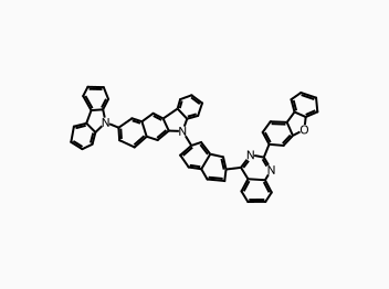 c1ccc2c(-c3ccc4ccc(-n5c6ccccc6c6cc7cc(-n8c9ccccc9c9ccccc98)ccc7cc65)cc4c3)nc(-c3ccc4c(c3)oc3ccccc34)nc2c1